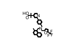 Cc1ccc2ccccc2c1CN(Cc1ccc(-c2cc(C(C)(C)C(=O)O)ccn2)cc1)Cc1ccc(C(F)(F)F)o1